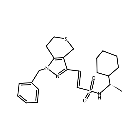 C[C@H](NS(=O)(=O)/C=C/c1nn(Cc2ccccc2)c2c1CSCC2)C1CCCCC1